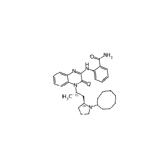 C[C@@H](C[C@@H]1CCCN1C1CCCCCCC1)n1c(=O)c(Nc2ccccc2C(N)=O)nc2ccccc21